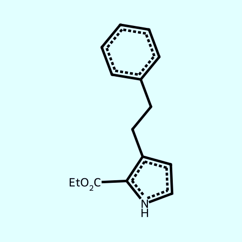 CCOC(=O)c1[nH]ccc1CCc1ccccc1